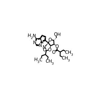 CCC(CC)C(=O)O[C@H]1[C@@H](OC(=O)C(CC)CC)[C@](C#N)(c2ccc3c(N)ncnn23)O[C@@H]1CO